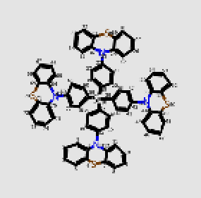 c1ccc2c(c1)Sc1ccccc1N2c1ccc([Si](c2ccc(N3c4ccccc4Sc4ccccc43)cc2)(c2ccc(N3c4ccccc4Sc4ccccc43)cc2)c2ccc(N3c4ccccc4Sc4ccccc43)cc2)cc1